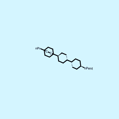 CCCCC[C@H]1CC[C@H]([C@H]2CC[C@H](C34CCC(CCC)(CC3)CC4)CC2)CC1